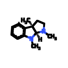 CN1CC[C@]2(C)c3[c]cccc3N(C)[C@H]12